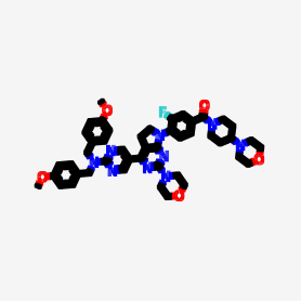 COc1ccc(CN(Cc2ccc(OC)cc2)c2ncc(-c3nc(N4CCOCC4)nc4c3CCN4c3ccc(C(=O)N4CCC(N5CCOCC5)CC4)cc3F)cn2)cc1